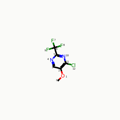 COc1cnc(C(F)(F)F)nc1Cl